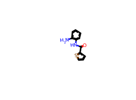 Nc1ccccc1NC(=O)c1cccs1